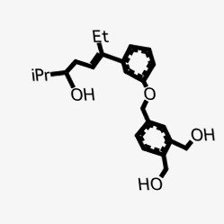 CCC(=CCC(O)C(C)C)c1cccc(OCc2ccc(CO)c(CO)c2)c1